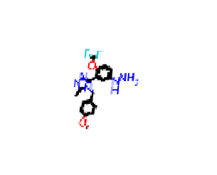 COc1ccc(Cn2c(C)nnc2-c2cc(NN)ccc2OC(F)F)cc1